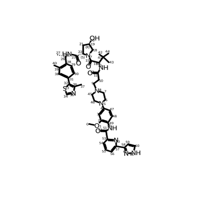 COc1cc(N2CCN(CCC(=O)N[C@H](C(=O)N3C[C@H](O)C[C@H]3C(=O)N[C@@H](C)c3ccc(-c4scnc4C)cc3C)C(C)(C)C)CC2)ccc1NC(=O)c1cccc(-c2cc[nH]n2)n1